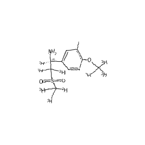 [2H]C([2H])([2H])Oc1ccc([C@]([2H])(N)C([2H])([2H])S(=O)(=O)C([2H])([2H])[2H])cc1C